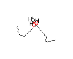 CCCCC/C=C\C/C=C\CCCCCCCCC1(CCCCCCCC/C=C\C/C=C\CCCCC)O[C@@H]2C3CC([C@@H]4CC34)[C@H]2O1